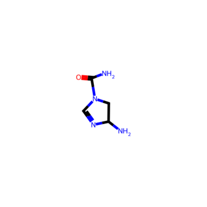 NC(=O)N1C=NC(N)C1